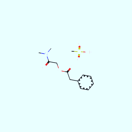 CN(C)C(=O)COC(=O)Cc1ccccc1.CS(=O)(=O)O